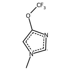 Cn1[c]nc(OC(F)(F)F)c1